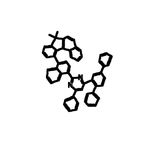 CC1(C)c2cccc(-c3ccc(-c4nc(-c5ccccc5)cc(-c5cc(-c6ccccc6)ccc5-c5ccccc5)n4)c4ccccc34)c2-c2c1ccc1ccccc21